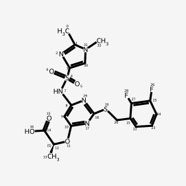 Cc1nc(S(=O)(=O)Nc2cc(O[C@@H](C)C(=O)O)nc(SCc3cccc(F)c3F)n2)cn1C